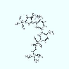 Cc1ccc(S(=O)(=O)NCCC(C)(C)O)cc1-c1cnc(N)c(-c2cc(C(F)(F)F)nn2C)n1